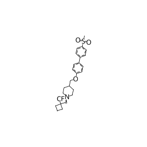 CS(=O)(=O)c1ccc(-c2ccc(OCC3CCN(CC4(C(F)(F)F)CCC4)CC3)cc2)cc1